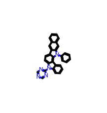 c1ccc(-n2c3cc4ccccc4cc3c3ccc4c(c5ccccc5n4-c4ncncn4)c32)cc1